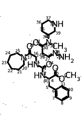 COC(=O)[C@@H](Cc1ccccc1)NC(=O)NC(C(=O)N1CCCCCC1)[C@@H](C=NN)C(=O)N(C)[C@H]1CCCNC1